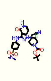 CN(C)S(=O)(=O)c1ccc(Nc2nn([C@@]3(CC#N)CCN(C(=O)OC(C)(C)C)C[C@H]3F)c3cc[nH]c(=O)c23)cc1